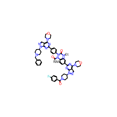 CCNC(=O)N(c1ccc(-c2nc(N3CCOCC3)c3cnn(C4CCN(Cc5ccccc5)CC4)c3n2)cc1)N(C(=O)NC)c1ccc(-c2nc(N3CCOCC3)c3cnn(C4CCN(C(=O)c5ccc(F)cc5)CC4)c3n2)cc1